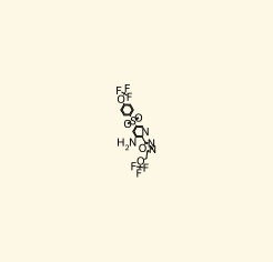 Nc1cc(S(=O)(=O)c2ccc(OC(F)(F)F)cc2)cnc1-c1nnc(COC(F)(F)F)o1